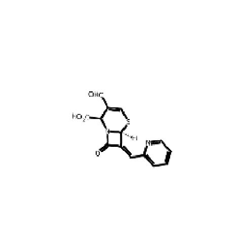 O=CC1=CS[C@H]2/C(=C\c3ccccn3)C(=O)N2C1C(=O)O